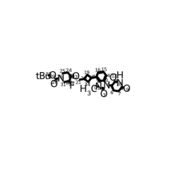 Cn1c(=O)n(C2CCC(=O)NC2=O)c2cccc(C3CC(CO[C@@H]4CCN(C(=O)OC(C)(C)C)C[C@@H]4F)C3)c21